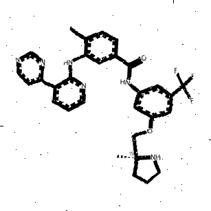 Cc1ccc(C(=O)Nc2cc(OC[C@]3(C)CCCN3)cc(C(F)(F)F)c2)cc1Nc1ncccc1-c1ccncn1